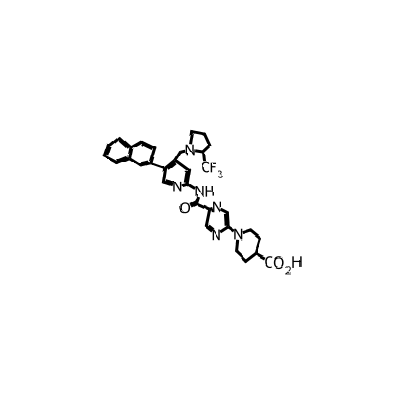 O=C(Nc1cc(CN2CCCC2C(F)(F)F)c(-c2ccc3ccccc3c2)cn1)c1cnc(N2CCC(C(=O)O)CC2)cn1